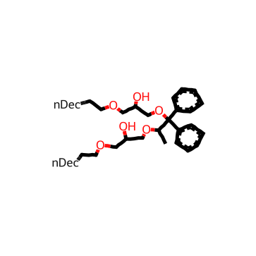 CCCCCCCCCCCCOCC(O)COC(C)C(OCC(O)COCCCCCCCCCCCC)(c1ccccc1)c1ccccc1